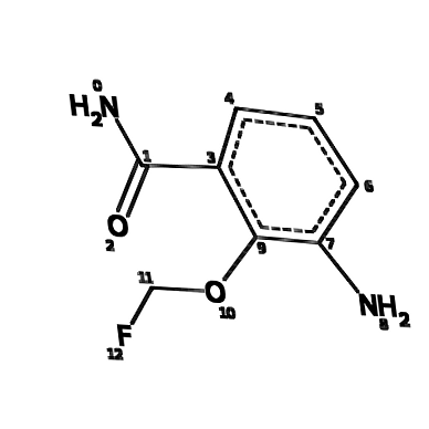 NC(=O)c1cccc(N)c1OCF